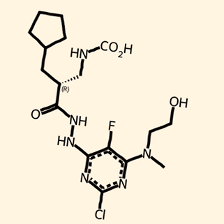 CN(CCO)c1nc(Cl)nc(NNC(=O)[C@@H](CNC(=O)O)CC2CCCC2)c1F